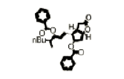 CCCC[C@H](C)[C@@H](/C=C/[C@@H]1[C@H]2CC(=O)O[C@H]2C[C@H]1OC(=O)c1ccccc1)OC(=O)c1ccccc1